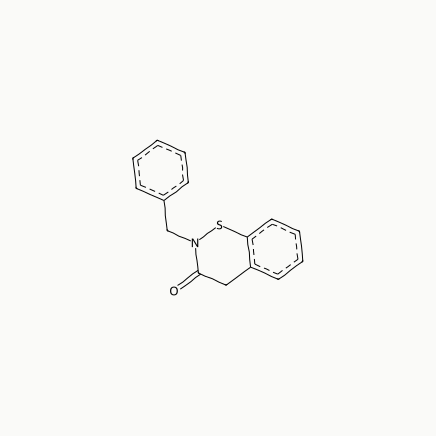 O=C1Cc2ccccc2SN1Cc1ccccc1